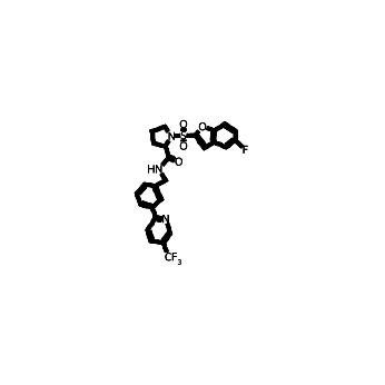 O=C(NCc1cccc(-c2ccc(C(F)(F)F)cn2)c1)C1CCCN1S(=O)(=O)c1cc2cc(F)ccc2o1